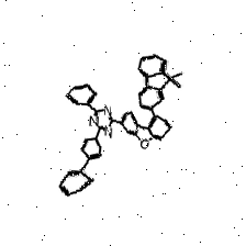 CC1(C)c2ccccc2-c2ccc(-c3cccc4oc5cc(-c6nc(-c7ccccc7)nc(-c7ccc(-c8ccccc8)cc7)n6)ccc5c34)cc21